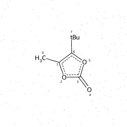 Cc1oc(=O)oc1C(C)(C)C